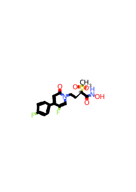 CS(=O)(=O)[C@H](CCn1cc(F)c(-c2ccc(F)cc2)cc1=O)C(=O)NO